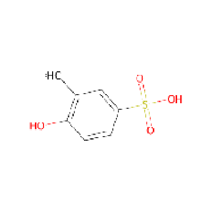 [CH]c1cc(S(=O)(=O)O)ccc1O